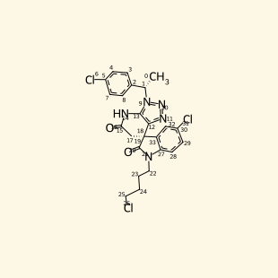 C[C@@H](c1ccc(Cl)cc1)n1nnc2c1NC(=O)C[C@]21C(=O)N(CCCCCl)c2ccc(Cl)cc21